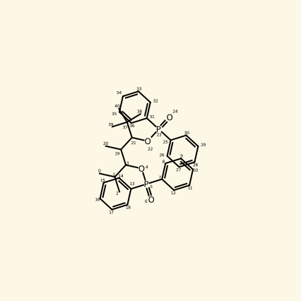 CC(C)C(OP(=O)(c1ccccc1)c1ccccc1)C(C)C(OP(=O)(c1ccccc1)c1ccccc1)C(C)(C)C